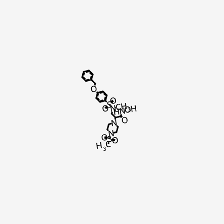 CN(CC(C(=O)NO)N1CCN(S(C)(=O)=O)CC1)S(=O)(=O)c1ccc(OCc2ccccc2)cc1